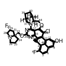 C#Cc1c(F)ccc2cc(O)cc(-c3c(Cl)c4c5c(nc(OC[C@@]67CCCN6C[C@H](F)C7)nc5c3F)N3C[C@H]5CC[C@H](N5)[C@H]3CO4)c12